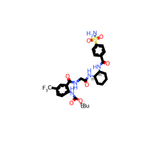 CC(C)(C)OC(=O)Nc1ccc(C(F)(F)F)cc1C(=O)NCC(=O)N[C@H]1CCCC[C@H]1NC(=O)c1ccc(S(N)(=O)=O)cc1